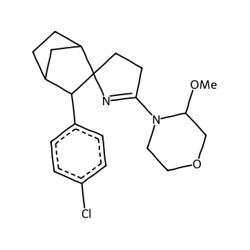 COC1COCCN1C1=NC2(CC1)C1CCC(C1)C2c1ccc(Cl)cc1